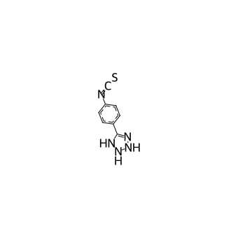 S=C=Nc1ccc(C2=NNNN2)cc1